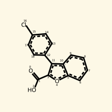 O=C(O)c1oc2ccccc2c1-c1ccc(Cl)cc1